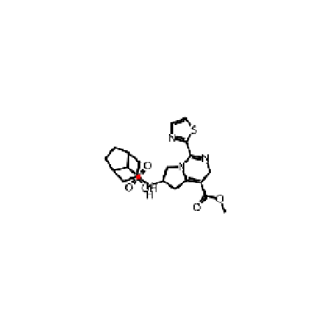 COC(=O)C1=C2CC(NS(=O)(=O)C3C4CCC3CC(O)C4)CN2C(c2nccs2)=NC1